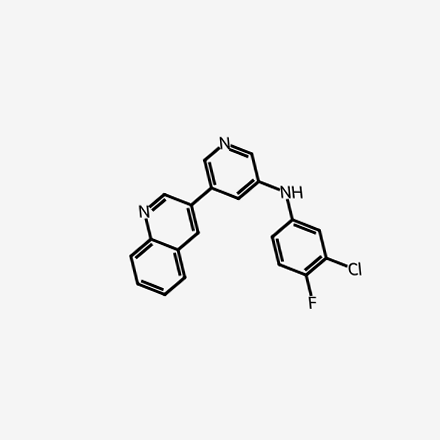 Fc1ccc(Nc2cncc(-c3cnc4ccccc4c3)c2)cc1Cl